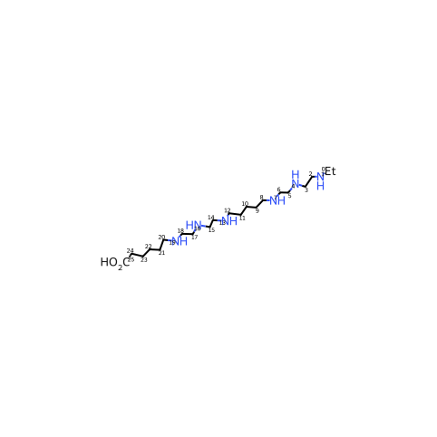 CCNCCNCCNCCCCCNCCNCCNCCCCCC(=O)O